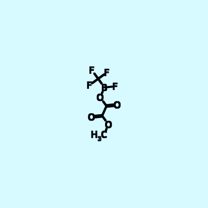 COC(=O)C(=O)OB(F)C(F)(F)F